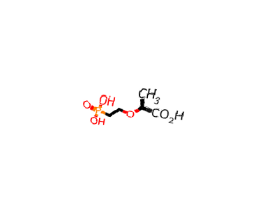 CC(OCCP(=O)(O)O)C(=O)O